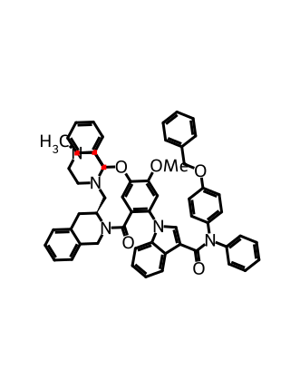 COc1cc(-n2cc(C(=O)N(c3ccccc3)c3ccc(OCc4ccccc4)cc3)c3ccccc32)c(C(=O)N2Cc3ccccc3C[C@H]2CN2CCN(C)CC2)cc1OCc1ccccc1